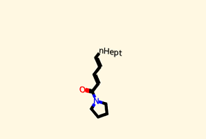 CCCCCCC/C=C/C=C/C(=O)N1CCCC1